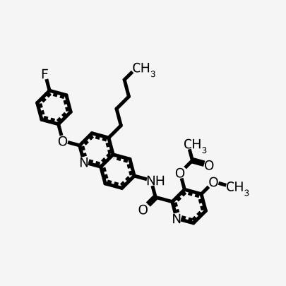 CCCCCc1cc(Oc2ccc(F)cc2)nc2ccc(NC(=O)c3nccc(OC)c3OC(C)=O)cc12